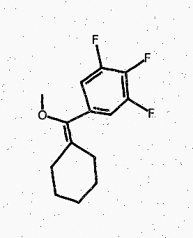 COC(=C1CCCCC1)c1cc(F)c(F)c(F)c1